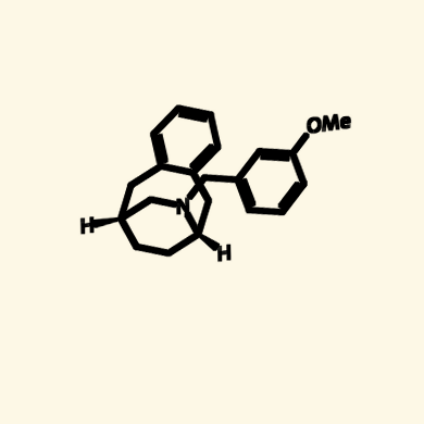 COc1cccc(CN2C[C@@H]3CC[C@H]2Cc2ccccc2C3)c1